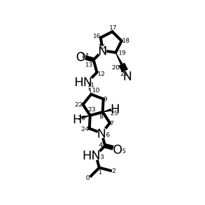 CC(C)NC(=O)N1C[C@H]2C[C@@H](NCC(=O)N3CCC[C@H]3C#N)C[C@H]2C1